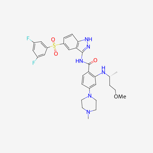 COCC[C@@H](C)Nc1cc(N2CCN(C)CC2)ccc1C(=O)Nc1n[nH]c2ccc(S(=O)(=O)c3cc(F)cc(F)c3)cc12